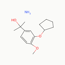 COc1ccc(C(C)(C)O)cc1OC1CCCC1.N